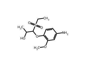 CCS(=O)(=O)C(Oc1ccc(N)cc1OC)C(C)O